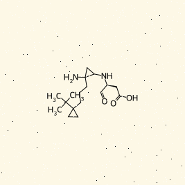 CC(C)(C)C1(CCCC2(N)CC2N[C@H](C=O)CC(=O)O)CC1